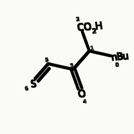 CCCCC(C(=O)O)C(=O)C=S